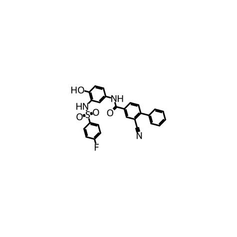 N#Cc1cc(C(=O)Nc2ccc(O)c(NS(=O)(=O)c3ccc(F)cc3)c2)ccc1-c1ccccc1